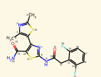 Cc1nc(C)c(-c2nc(NC(=O)Cc3c(F)cccc3F)sc2C(N)=O)s1